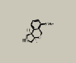 CSc1cccc2c1CO[C@@]1(C)CNC[C@@H]21